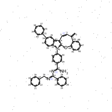 C=C1/C=C\c2c(n(-c3ccc(/C(N)=N/C(=N\Cc4ccccc4)c4ccccc4)cc3)c3ccc(-c4ccccc4)cc23)Oc2ccccc21